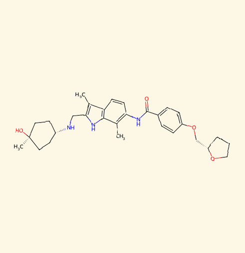 Cc1c(CN[C@H]2CC[C@](C)(O)CC2)[nH]c2c(C)c(NC(=O)c3ccc(OC[C@@H]4CCCO4)cc3)ccc12